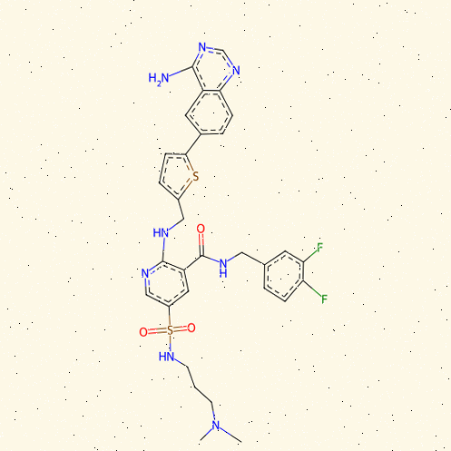 CN(C)CCCNS(=O)(=O)c1cnc(NCc2ccc(-c3ccc4ncnc(N)c4c3)s2)c(C(=O)NCc2ccc(F)c(F)c2)c1